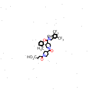 Cc1ccccc1[C@H]1CN(C(=O)C2CCN(C(=O)CCC(=O)O)CC2)CCC1C(=O)N(C)Cc1cc(C(F)(F)F)cc(C(F)(F)F)c1